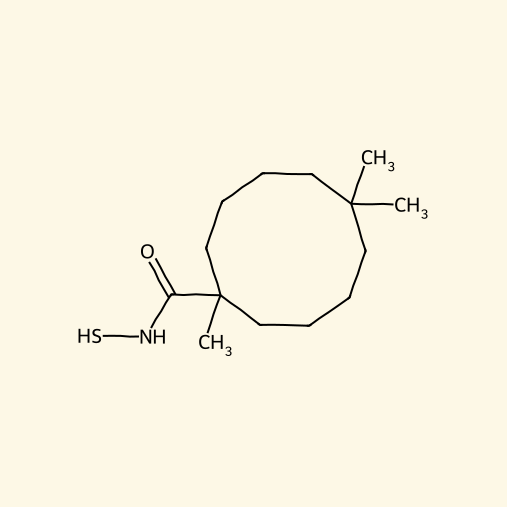 CC1(C)CCCCC(C)(C(=O)NS)CCCC1